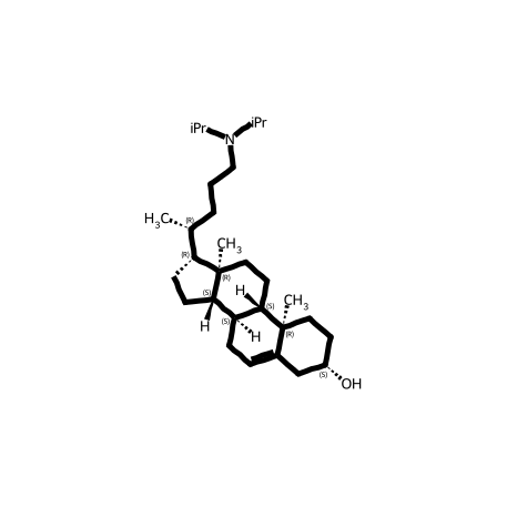 CC(C)N(CCC[C@@H](C)[C@H]1CC[C@H]2[C@@H]3CC=C4C[C@@H](O)CC[C@]4(C)[C@H]3CC[C@]12C)C(C)C